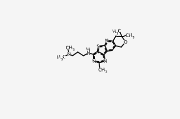 Cc1nc(NCCCN(C)C)c2sc3nc4c(cc3c2n1)COC(C)(C)C4